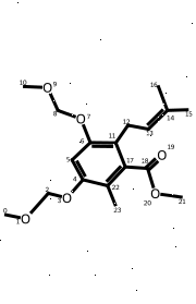 COCOc1cc(OCOC)c(CC=C(C)C)c(C(=O)OC)c1C